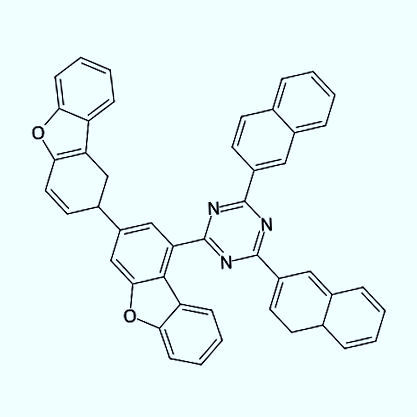 C1=CC2=CC(c3nc(-c4ccc5ccccc5c4)nc(-c4cc(C5C=Cc6oc7ccccc7c6C5)cc5oc6ccccc6c45)n3)=CCC2C=C1